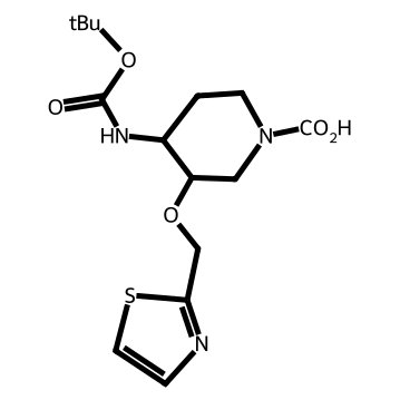 CC(C)(C)OC(=O)NC1CCN(C(=O)O)CC1OCc1nccs1